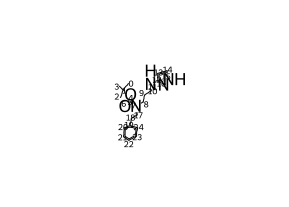 CC(C)(C)OC(=O)N(CCCNc1cc[nH]n1)CCc1ccccc1